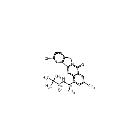 Cc1cc([C@@H](C)N[S@+]([O-])C(C)(C)C)c2nc3n(c(=O)c2c1)Cc1ccc(Cl)cc1-3